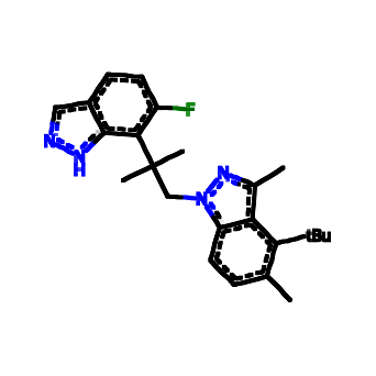 Cc1ccc2c(c(C)nn2CC(C)(C)c2c(F)ccc3cn[nH]c23)c1C(C)(C)C